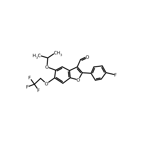 CC(C)Oc1cc2c(C=O)c(-c3ccc(F)cc3)oc2cc1OCC(F)(F)F